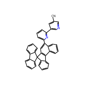 N#Cc1cncc(-c2cccc(-c3cc4c(c5ccccc35)-c3ccccc3C43c4ccccc4-c4ccccc43)n2)c1